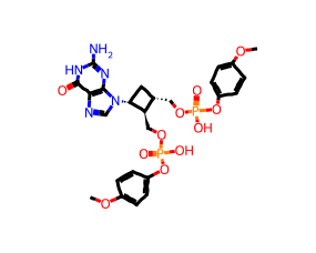 COc1ccc(OP(=O)(O)OC[C@H]2C[C@@H](n3cnc4c(=O)[nH]c(N)nc43)[C@@H]2COP(=O)(O)Oc2ccc(OC)cc2)cc1